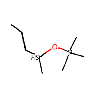 CCC[SiH](C)O[Si](C)(C)C